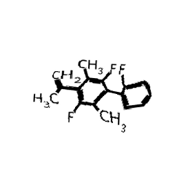 C=C(C)c1c(C)c(F)c(-c2ccccc2F)c(C)c1F